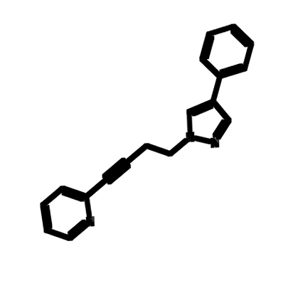 C(#Cc1ccccn1)CCn1cc(-c2ccccc2)cn1